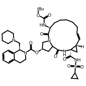 CC(C)(C)OC(=O)N[C@H]1CCCCC/C=C/[C@@H]2C[C@@]2(C(=O)NS(=O)(=O)C2CC2)NC(=O)C2C[C@@H](OC(=O)N3CCc4ccccc4[C@H]3CN3CCCCC3)CN2C1=O